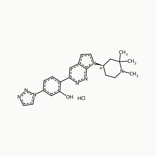 CN1CC[C@@H](n2ccc3cc(-c4ccc(-n5ccnn5)cc4O)nnc32)CC1(C)C.Cl